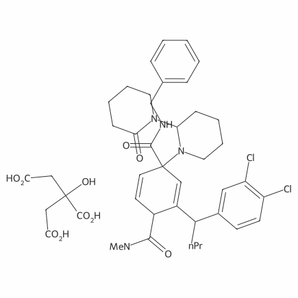 CCCC(C1=CC(C(=O)NCc2ccccc2)(N2CCCCC2N2CCCCC2=O)C=CC1C(=O)NC)c1ccc(Cl)c(Cl)c1.O=C(O)CC(O)(CC(=O)O)C(=O)O